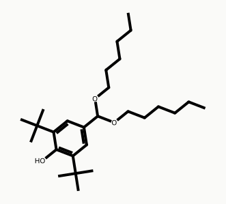 CCCCCCOC(OCCCCCC)c1cc(C(C)(C)C)c(O)c(C(C)(C)C)c1